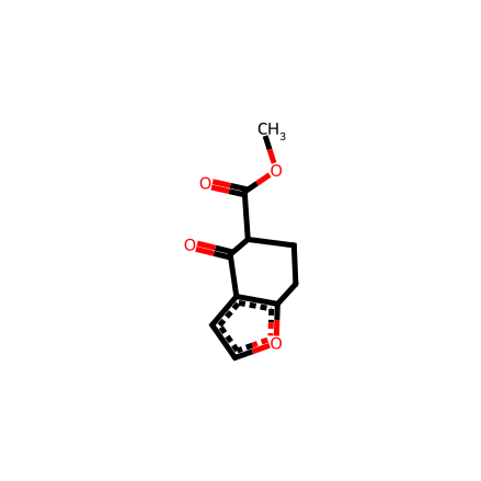 COC(=O)C1CCc2occc2C1=O